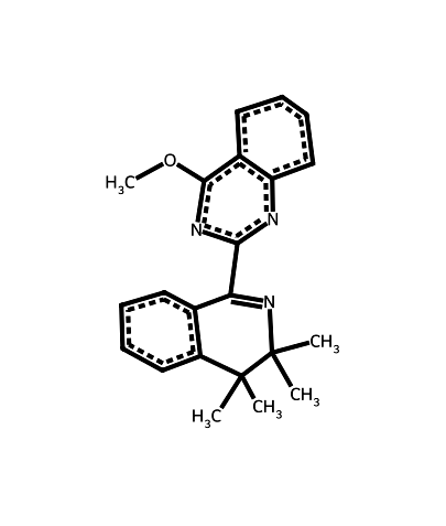 COc1nc(C2=NC(C)(C)C(C)(C)c3ccccc32)nc2ccccc12